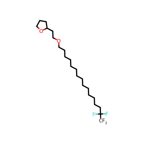 FC(F)(F)C(F)(F)CCCCCCCCCCCCCCOCCC1CCCO1